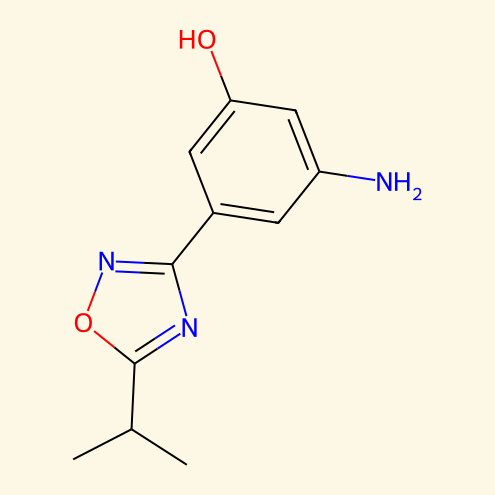 CC(C)c1nc(-c2cc(N)cc(O)c2)no1